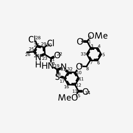 COC(=O)c1cccc(COc2cc(C(=O)OC)cc3sc(NC(=O)c4[nH]c(C)c(Cl)c4Cl)nc23)c1